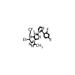 CCC1c2nnc(C)n2-c2cnc(-n3ccnc3-c3ccc(F)cc3F)nc2N1CCC(F)(F)F